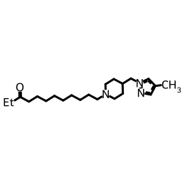 CCC(=O)CCCCCCCCCN1CCC(Cn2cc(C)cn2)CC1